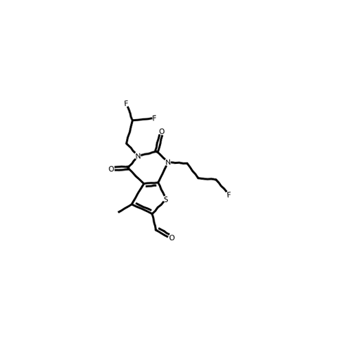 Cc1c(C=O)sc2c1c(=O)n(CC(F)F)c(=O)n2CCCF